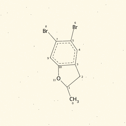 CC1Cc2cc(Br)c(Br)cc2O1